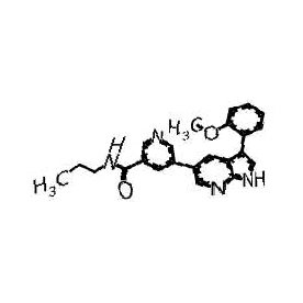 CCCNC(=O)c1cncc(-c2cnc3[nH]cc(-c4ccccc4OC)c3c2)c1